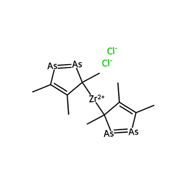 CC1=C(C)[C](C)([Zr+2][C]2(C)[As]=[As]C(C)=C2C)[As]=[As]1.[Cl-].[Cl-]